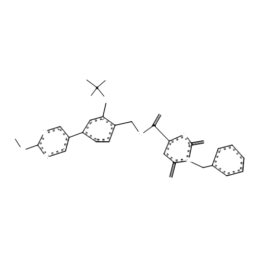 COc1ncc(-c2ccc(CNC(=O)c3cc(=O)n(Cc4ccccc4)c(=O)[nH]3)c(OC(F)(F)F)c2)cn1